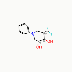 O[C@H]1[C@H](O)CN(c2ccccc2)C[C@@H]1C(F)F